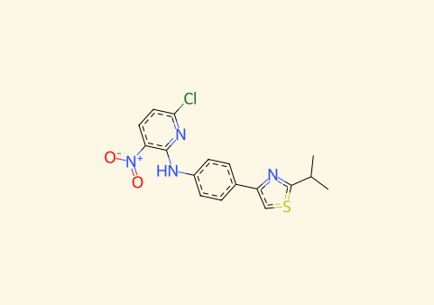 CC(C)c1nc(-c2ccc(Nc3nc(Cl)ccc3[N+](=O)[O-])cc2)cs1